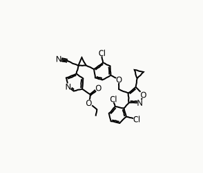 CCOC(=O)c1cncc(C2(C#N)CC2c2ccc(OCc3c(-c4c(Cl)cccc4Cl)noc3C3CC3)cc2Cl)c1